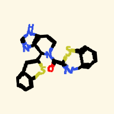 O=C(c1nc2ccccc2s1)N1CCc2[nH]cnc2[C@@H]1c1cc2ccccc2s1